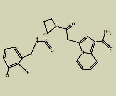 NC(=O)c1nc(CC(=O)N2CC[C@H]2C(=O)NCc2cccc(Cl)c2F)n2ccccc12